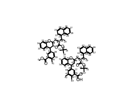 COC(=O)c1cc(C2C[C@H](CN(C(=O)OC(C)(C)C)[C@H](C)c3cccc4ccccc34)Oc3ccccc32)ccc1C.Cc1cc(C2C[C@H](CN(C(=O)OC(C)(C)C)[C@H](C)c3cccc4ccccc34)Oc3ccccc32)cc(C(=O)O)c1C